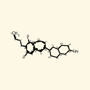 C=CCCc1c(F)cc2cc(C3CCC4CC(CCC)CCC4C3)ccc2c1F